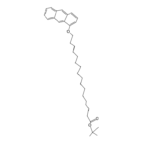 CC(C)(C)OC(=O)CCCCCCCCCCCCCCCCOc1cccc2cc3ccccc3cc12